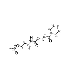 C[PH](=O)OCCC(F)NC(=O)OCOC(=O)C1CCCCC1